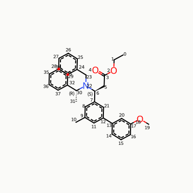 CCOC(=O)C[C@@H](c1cc(C)cc(-c2cccc(OC)c2)c1)N(Cc1ccccc1)[C@H](C)c1ccccc1